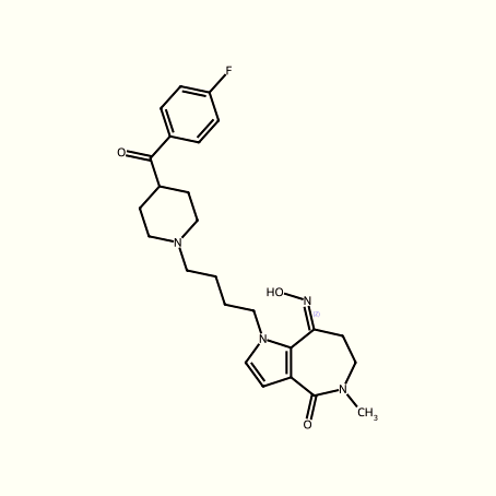 CN1CC/C(=N/O)c2c(ccn2CCCCN2CCC(C(=O)c3ccc(F)cc3)CC2)C1=O